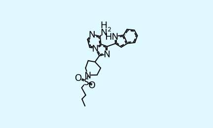 CCCCS(=O)(=O)N1CCC(c2nc(-c3cc4ccccc4[nH]3)c3c(N)nccn23)CC1